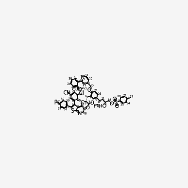 CCOC(=O)[C@@H](Cc1cc(CC[C@H](O)COS(=O)(=O)c2ccc(C)cc2)ccc1OCc1ccnc(-c2ccccc2OC)n1)Oc1ncnc2sc(-c3ccc(F)cc3)c(-c3cc(Cl)c(O)c(Cl)c3)c12